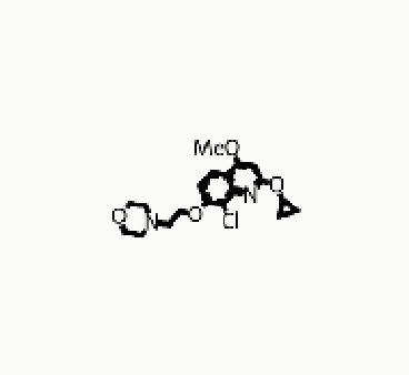 COc1cc(OC2CC2)nc2c(Cl)c(OCCN3CCOCC3)ccc12